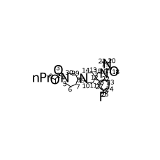 CCCOC(=O)N1CCCC(N2CCC3(CC2)CN(C(=O)N(C)C)c2ccc(F)cc23)CC1